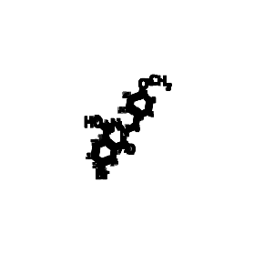 COc1ccc(Cn2nc(O)c3ccc(Br)cc3c2=O)cc1